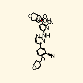 COc1nc(Nc2nccc(-c3ccc(OC4CCOCC4)c(C#N)c3)n2)ccc1C(=O)N1C2COCC1CC(O)C2